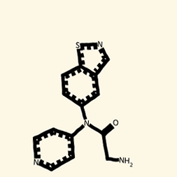 NCC(=O)N(c1ccncc1)c1ccc2sncc2c1